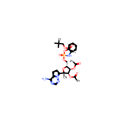 CCC(C)(C)COC(=O)[C@H](C)NP(=O)(OC[C@H]1O[C@@](C#N)(c2ccc3c(N)ncnn23)[C@H](OC(=O)C(C)C)[C@@H]1OC(=O)C(C)C)Oc1ccccc1